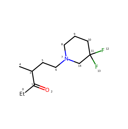 CCC(=O)C(C)CCN1CCCC(F)(F)C1